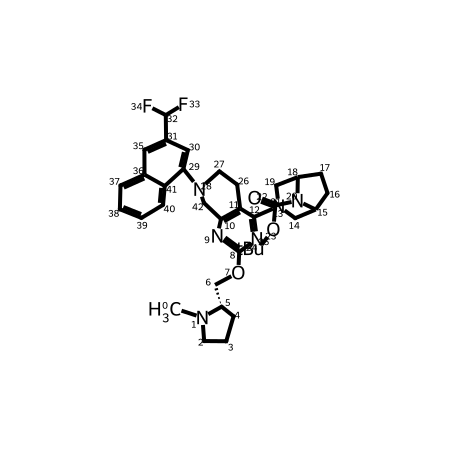 CN1CCC[C@H]1COc1nc2c(c(N3CC4CCC(C3)N4C(=O)OC(C)(C)C)n1)CCN(c1cc(C(F)F)cc3ccccc13)C2